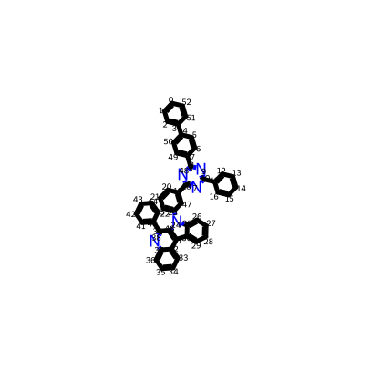 c1ccc(-c2ccc(-c3nc(-c4ccccc4)nc(-c4cccc(-n5c6ccccc6c6c7ccccc7nc(-c7ccccc7)c65)c4)n3)cc2)cc1